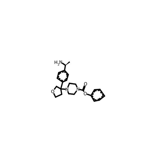 C[C@H](N)c1ccc(C2(N3CCN(C(=O)Oc4ccccc4)CC3)CCOC2)cc1